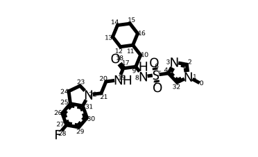 Cn1cnc(S(=O)(=O)NC(CC2CCCCC2)C(=O)NCCN2CCc3cc(F)ccc32)c1